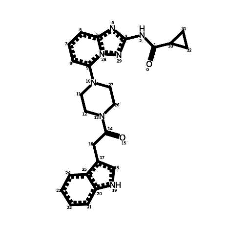 O=C(Nc1nc2cccc(N3CCN(C(=O)Cc4c[nH]c5ccccc45)CC3)n2n1)C1CC1